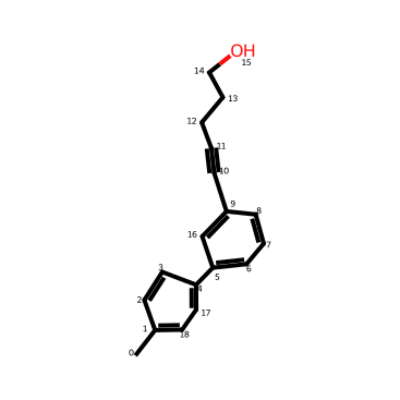 Cc1ccc(-c2cccc(C#CCCCO)c2)cc1